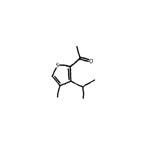 CC(=O)c1scc(C)c1C(C)C